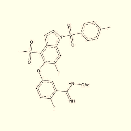 CC(=O)ONC(=N)c1cc(Oc2c(F)cc3c(ccn3S(=O)(=O)c3ccc(C)cc3)c2S(C)(=O)=O)ccc1F